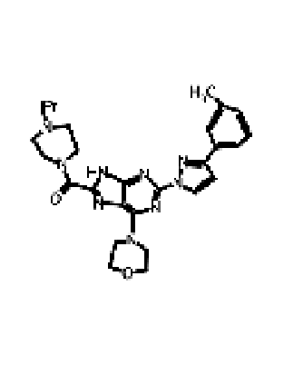 Cc1cccc(-c2ccn(-c3nc(N4CCOCC4)c4nc(C(=O)N5CCN(C(C)C)CC5)[nH]c4n3)n2)c1